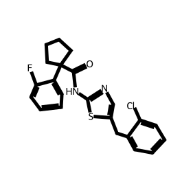 O=C(Nc1ncc(Cc2ccccc2Cl)s1)C1(c2ccccc2F)CCCC1